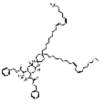 CCCCC/C=C\C/C=C\CCCCCCCCC1(CCCCCCCC/C=C\C/C=C\CCCCC)CCC2(CC1)O[C@H]1CC(N(C)C(=O)OCc3ccccc3)C(N(C)C(=O)OCc3ccccc3)C[C@@H]1O2